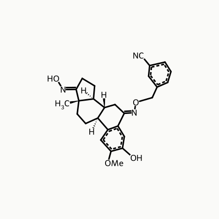 COc1cc2c(cc1O)/C(=N/OCc1cccc(C#N)c1)C[C@@H]1[C@@H]2CC[C@]2(C)/C(=N/O)CC[C@@H]12